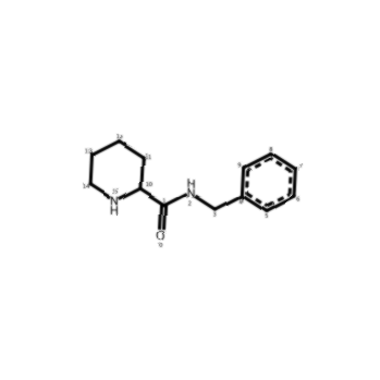 O=C(NCc1ccccc1)C1CCCCN1